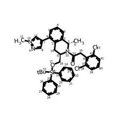 C[C@H]1c2cccc(-c3cnn(C)c3)c2C[C@H](CO[Si](c2ccccc2)(c2ccccc2)C(C)(C)C)N1C(=O)Cc1c(Cl)cccc1Cl